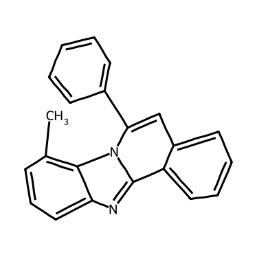 Cc1cccc2nc3c4ccccc4cc(-c4ccccc4)n3c12